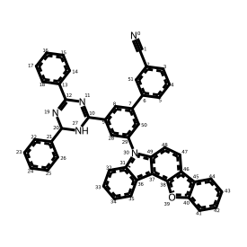 N#Cc1cccc(-c2cc(C3=NC(c4ccccc4)=NC(c4ccccc4)N3)cc(-n3c4ccccc4c4c5oc6ccccc6c5ccc43)c2)c1